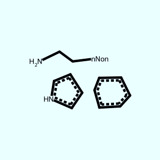 CCCCCCCCCCCN.c1cc[nH]c1.c1ccccc1